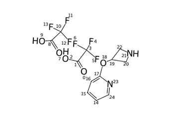 O=C(O)C(F)(F)F.O=C(O)C(F)(F)F.c1ccc(OC2CNC2)nc1